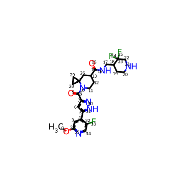 COc1cc(-c2cc(C(=O)N3CCC(C(=O)NCC4CCNCC4(F)F)CC34CC4)n[nH]2)c(F)cn1